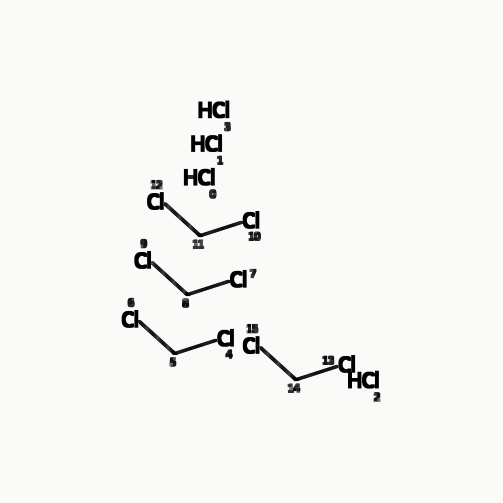 Cl.Cl.Cl.Cl.ClCCl.ClCCl.ClCCl.ClCCl